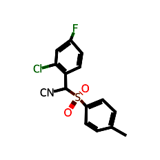 [C-]#[N+]C(c1ccc(F)cc1Cl)S(=O)(=O)c1ccc(C)cc1